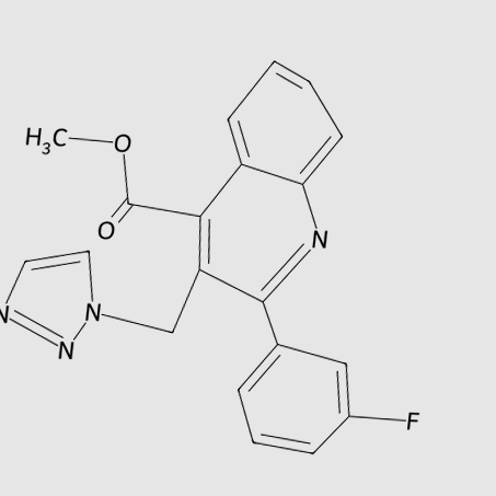 COC(=O)c1c(Cn2ccnn2)c(-c2cccc(F)c2)nc2ccccc12